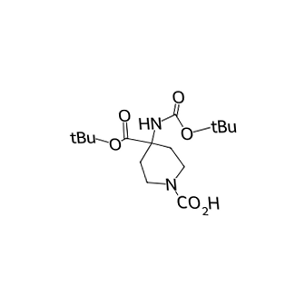 CC(C)(C)OC(=O)NC1(C(=O)OC(C)(C)C)CCN(C(=O)O)CC1